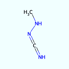 CNN=C=N